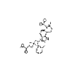 COC(=O)C1CC2(C1)CC(n1c(Cc3ccccc3)nc3c4c(ccc31)N(C(=O)OC)[C@@H](C)CC4)C2